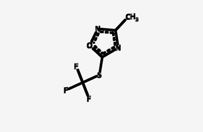 Cc1noc(SC(F)(F)F)n1